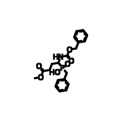 COC(=O)CCC(NC(=O)OCc1ccccc1)P(=O)(O)Cc1ccccc1